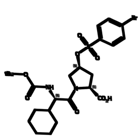 CC(C)(C)OC(=O)N[C@H](C(=O)N1C[C@@H](OS(=O)(=O)c2ccc(Br)cc2)C[C@H]1C(=O)O)C1CCCCC1